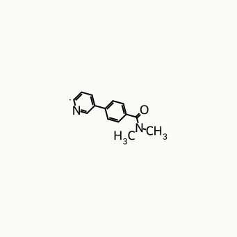 CN(C)C(=O)c1ccc(-c2cc[c]nc2)cc1